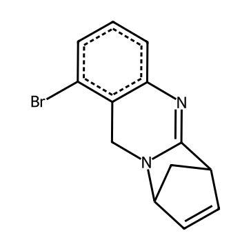 Brc1cccc2c1CN1C(=N2)C2C=CC1C2